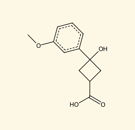 COc1cccc(C2(O)CC(C(=O)O)C2)c1